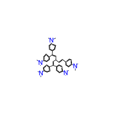 CN(C)c1ccc(C=CC(C=C(c2ccc(N(C)C)cc2)c2ccc(N(C)C)cc2)C=C(c2ccc(N(C)C)cc2)c2ccc(N(C)C)cc2)cc1